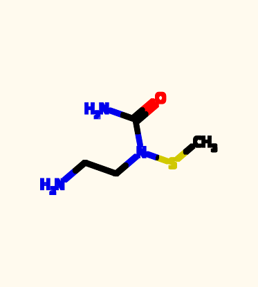 CSN(CCN)C(N)=O